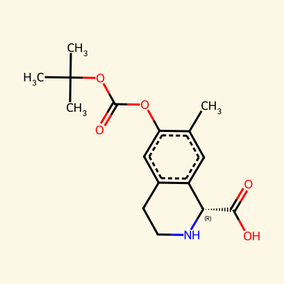 Cc1cc2c(cc1OC(=O)OC(C)(C)C)CCN[C@H]2C(=O)O